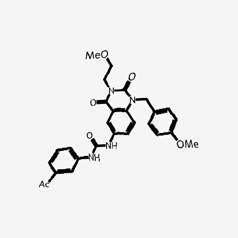 COCCn1c(=O)c2cc(NC(=O)Nc3cccc(C(C)=O)c3)ccc2n(Cc2ccc(OC)cc2)c1=O